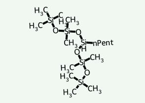 CCCCC[SiH](O[Si](C)(C)O[Si](C)(C)C)O[Si](C)(C)O[Si](C)(C)C